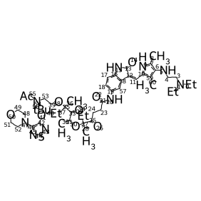 CCN(CC)CCNc1c(C)[nH]c(/C=C2\C(=O)Nc3ccc(NC(=O)CCC(=O)C(C)(CC)O[C@@H](C)C(=O)C(C)(CC)O[C@H](COc4nsnc4N4CCOCC4)CN(C(C)=O)C(C)(C)C)cc32)c1C